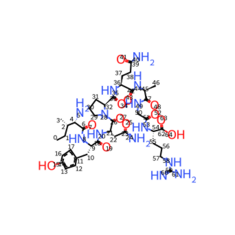 CC[C@H](C)[C@H](N)C(=O)N[C@@H](Cc1ccc(O)cc1)C(=O)N[C@@H](CC(N)=O)C(=O)N1CCC[C@H]1C(=O)N[C@@H](CCC(N)=O)C(=O)N[C@@H](C)C(=O)NCC(=O)N[C@@H](CCCNC(=N)N)C(=O)O